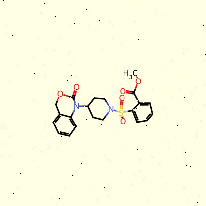 COC(=O)c1ccccc1S(=O)(=O)N1CCC(N2C(=O)OCc3ccccc32)CC1